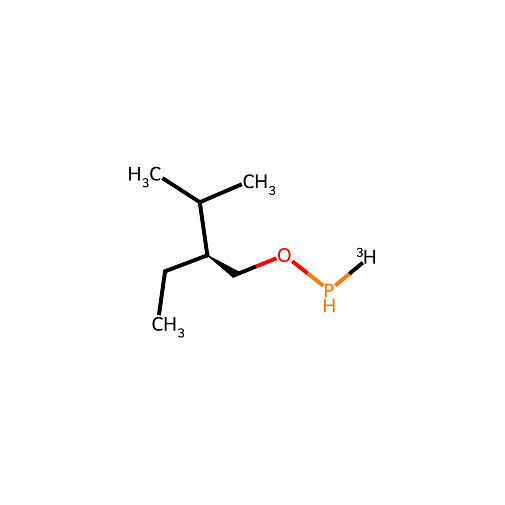 [3H]POC[C@@H](CC)C(C)C